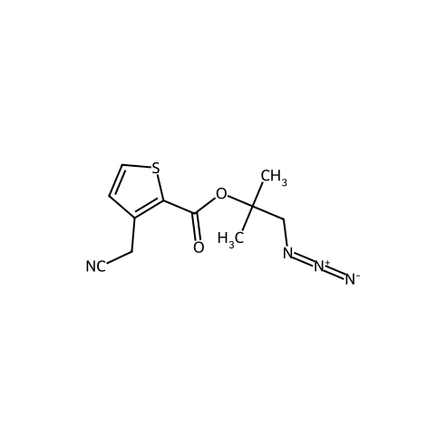 CC(C)(CN=[N+]=[N-])OC(=O)c1sccc1CC#N